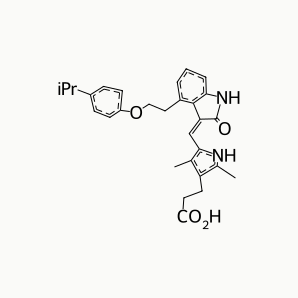 Cc1[nH]c(C=C2C(=O)Nc3cccc(CCOc4ccc(C(C)C)cc4)c32)c(C)c1CCC(=O)O